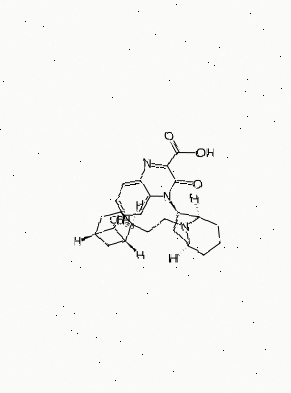 CC1(C)[C@H]2CC[C@@H](CCN3[C@H]4CCC[C@@H]3[C@H](n3c(=O)c(C(=O)O)nc5ccccc53)C4)[C@@H]1C2